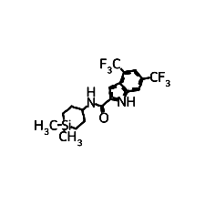 C[Si]1(C)CCC(NC(=O)c2cc3c(C(F)(F)F)cc(C(F)(F)F)cc3[nH]2)CC1